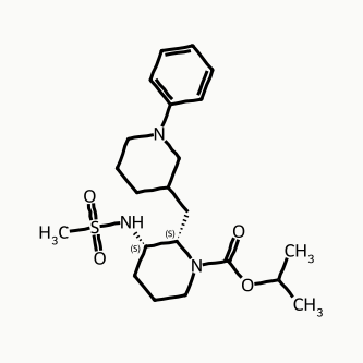 CC(C)OC(=O)N1CCC[C@H](NS(C)(=O)=O)[C@@H]1CC1CCCN(c2ccccc2)C1